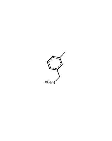 [CH2]CCCCCc1cccc(C)c1